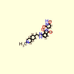 CN1CCC2(CCC(CCNc3cccc4c3C(=O)N(C3CCC(=O)NC3=O)C4=O)CC2)CC1